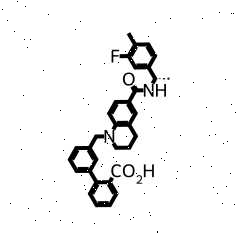 Cc1ccc([C@H](C)NC(=O)c2ccc3c(c2)CCCN3Cc2cccc(-c3ccccc3C(=O)O)c2)cc1F